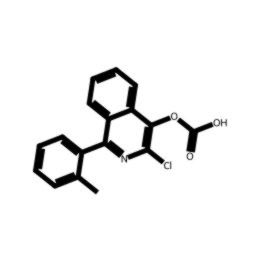 Cc1ccccc1-c1nc(Cl)c(OC(=O)O)c2ccccc12